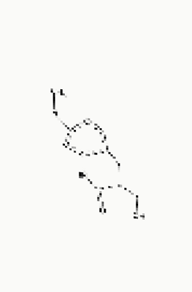 CNc1ccc2c(c1)NC(=O)C(CO)C2